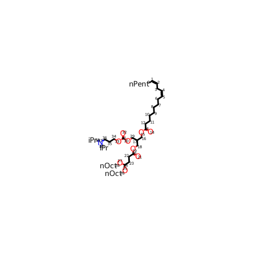 CCCCC/C=C\C/C=C\CCCCCCCC(=O)OCC(COC(=O)CCC(OCCCCCCCC)OCCCCCCCC)COC(=O)OCCCN(C(C)C)C(C)C